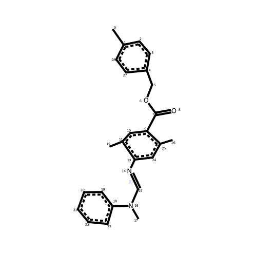 Cc1ccc(COC(=O)c2cc(C)c(/N=C/N(C)c3ccccc3)cc2C)cc1